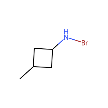 CC1CC(NBr)C1